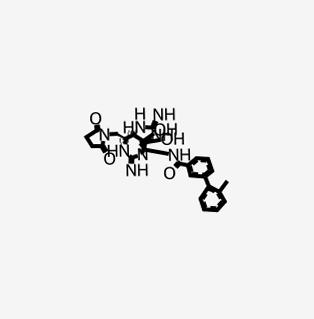 Cc1ccccc1-c1cccc(C(=O)NC2CN3C(=N)N[C@@H](CN4C(=O)CCC4=O)[C@@H]4NC(=N)NC43C2(O)O)c1